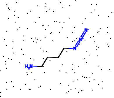 [N-]=[N+]=NCCC[CH]N